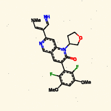 CN/C=C(\C=N)c1cc2c(cn1)cc(-c1c(F)c(OC)cc(OC)c1F)c(=O)n2C1CCOC1